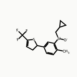 Cc1ccc(C2CC=C(C(F)(F)F)S2)cc1[S+]([O-])CC1CC1